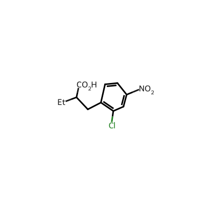 CCC(Cc1ccc([N+](=O)[O-])cc1Cl)C(=O)O